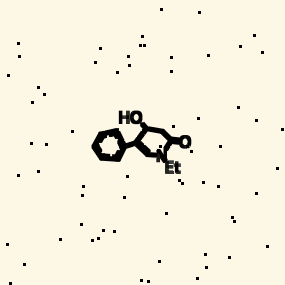 CCN1C=C(c2ccccc2)C(O)CC1=O